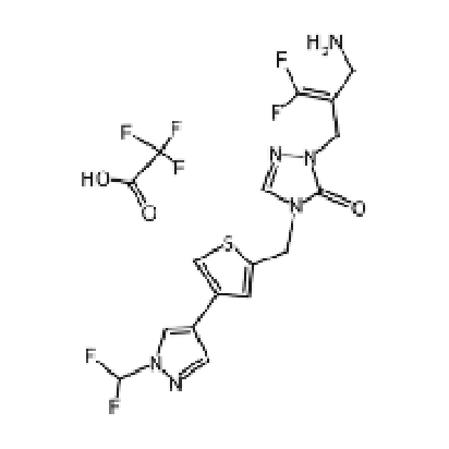 NCC(Cn1ncn(Cc2cc(-c3cnn(C(F)F)c3)cs2)c1=O)=C(F)F.O=C(O)C(F)(F)F